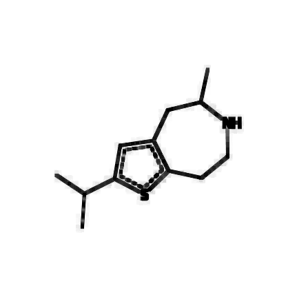 CC1Cc2cc(C(C)C)sc2CCN1